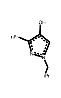 CCCc1nn(CC(C)C)cc1O